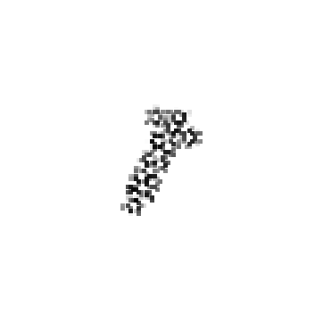 O=C1c2ccc3c4ccc5c6ccc7c8c(ccc(c9ccc(c%10ccc(c2c3%10)C(=O)N1c1ccccc1)c4c59)c86)-c1c-7c(-c2ccccc2)c2ccccc2c1-c1ccccc1